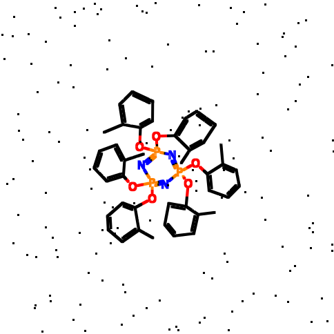 Cc1ccccc1OP1(Oc2ccccc2C)=NP(Oc2ccccc2C)(Oc2ccccc2C)=NP(Oc2ccccc2C)(Oc2ccccc2C)=N1